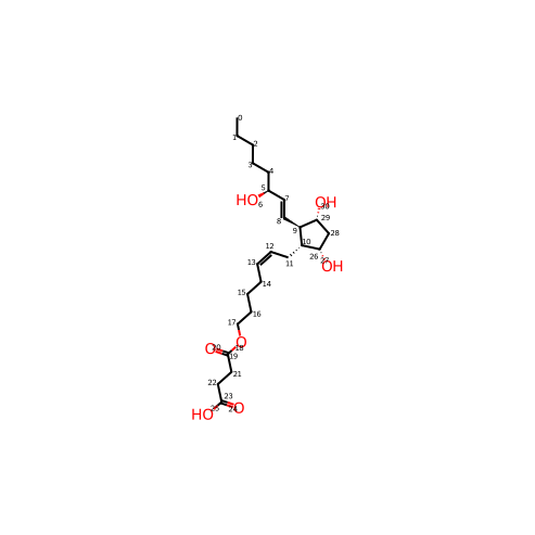 CCCCC[C@H](O)/C=C/[C@@H]1[C@@H](C/C=C\CCCCOC(=O)CCC(=O)O)[C@@H](O)C[C@H]1O